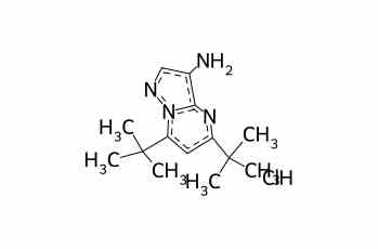 CC(C)(C)c1cc(C(C)(C)C)n2ncc(N)c2n1.Cl